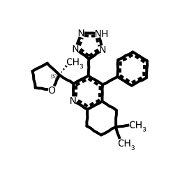 CC1(C)CCc2nc([C@]3(C)CCCO3)c(-c3nn[nH]n3)c(-c3ccccc3)c2C1